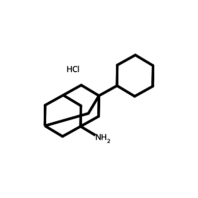 Cl.NC12CC3CC(C1)CC(C1CCCCC1)(C3)C2